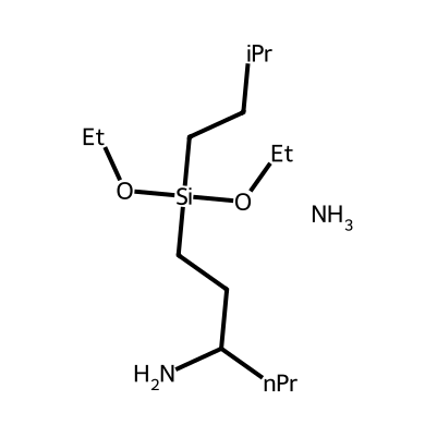 CCCC(N)CC[Si](CCC(C)C)(OCC)OCC.N